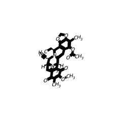 CC[C@H]1c2c(c(OC(C)=O)c(C)c3c2OCO3)C=C2[C@H]3C4=C(C[C@H]([C@H](C#N)N21)N3C)C(=O)C(C)=C(OC)C4=O